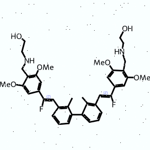 COc1cc(/C(F)=C/c2cccc(-c3cccc(/C=C(\F)c4cc(OC)c(CNCCO)c(OC)c4)c3C)c2C)cc(OC)c1CNCCO